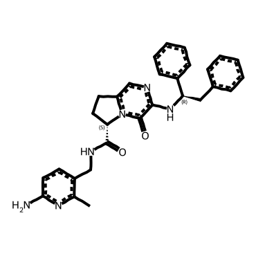 Cc1nc(N)ccc1CNC(=O)[C@@H]1CCc2cnc(N[C@H](Cc3ccccc3)c3ccccc3)c(=O)n21